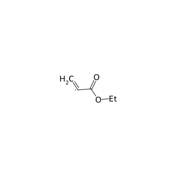 C=[C]C(=O)OCC